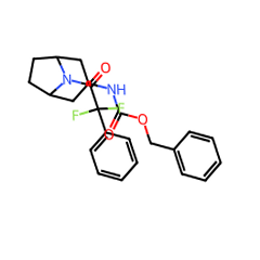 O=C(NC1CC2CCC(C1)N2C(=O)C(F)(F)c1ccccc1)OCc1ccccc1